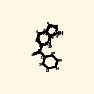 C=C(c1ccc2cc[nH]c2n1)C1CCCCC1